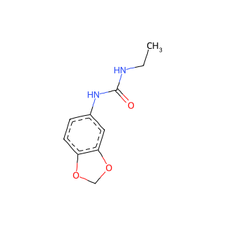 CCNC(=O)Nc1ccc2c(c1)OCO2